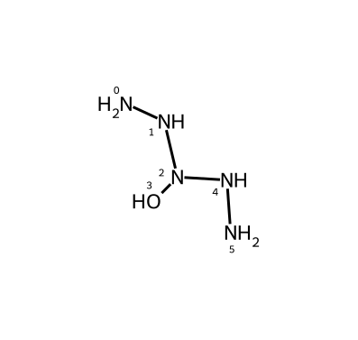 NNN(O)NN